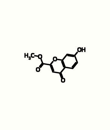 COC(=O)c1cc(=O)c2ccc(O)cc2o1